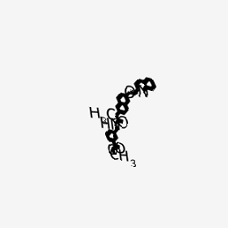 COC(=O)c1cccc(CNC(=O)C(C)c2ccc3cc(OCc4ccc5ccccc5n4)ccc3c2)c1